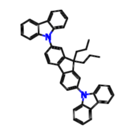 CCCC1(CCC)c2cc(-n3c4ccccc4c4ccccc43)ccc2-c2ccc(-n3c4ccccc4c4ccccc43)cc21